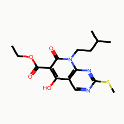 CCOC(=O)c1c(O)c2cnc(SC)nc2n(CCC(C)C)c1=O